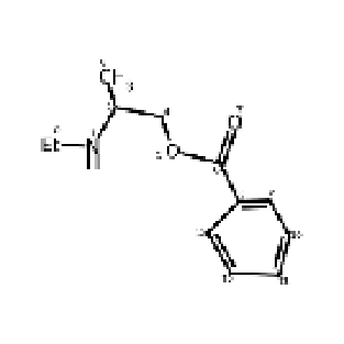 CCNC(C)COC(=O)c1ccccc1